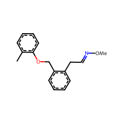 CON=CCc1ccccc1COc1ccccc1C